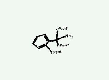 CCCCCc1ccccc1C(N)(CCCCC)CCCCC